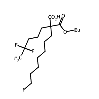 CCC(C)OC(=O)C(CCCCCCCI)(CCCC(F)(F)C(F)(F)F)C(=O)O